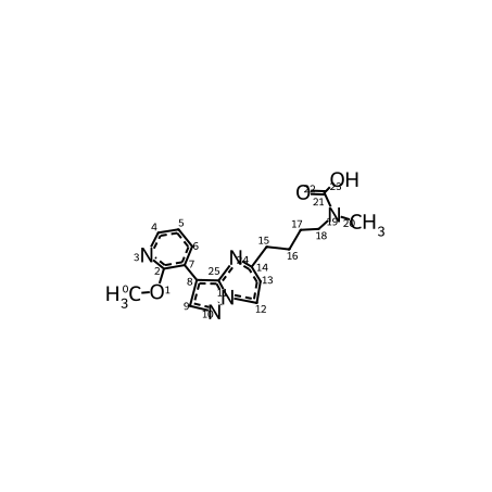 COc1ncccc1-c1cnn2ccc(CCCCN(C)C(=O)O)nc12